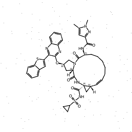 Cc1cc(C(=O)N[C@H]2CCCCCC=C[C@@H]3C[C@@]3(C(=O)NS(=O)(=O)C3CC3)NC(=O)[C@@H]3C[C@@H](Oc4nc5ccccc5nc4-c4cc5ccccc5s4)CN3C2=O)nn1C